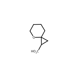 O=C(O)C1CC12CCCCO2